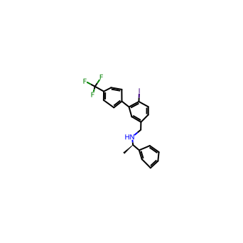 C[C@@H](NCc1ccc(I)c(-c2ccc(C(F)(F)F)cc2)c1)c1ccccc1